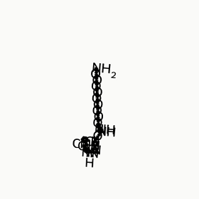 Cc1nc(Nc2ncc(C(=O)Nc3c(Cl)cccc3Cl)s2)cc(N2CCN(CCOCC3=CN(CCOCCOCCOCCOCCOCCOCCOCCOCCOCCN)NN3)CC2)n1